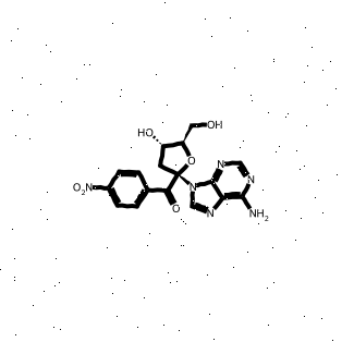 Nc1ncnc2c1ncn2[C@@]1(C(=O)c2ccc([N+](=O)[O-])cc2)C[C@H](O)[C@@H](CO)O1